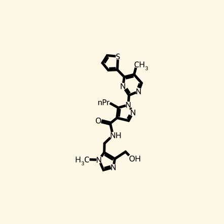 CCCc1c(C(=O)NCc2c(CO)ncn2C)cnn1-c1ncc(C)c(-c2cccs2)n1